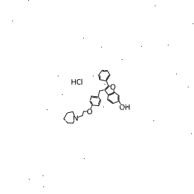 Cl.Oc1ccc2c(Cc3ccc(OCCN4CCCCC4)cc3)c(-c3ccccc3)oc2c1